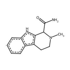 CN1CCc2c([nH]c3c[c]ccc23)C1C(N)=O